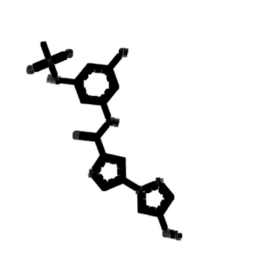 COc1cnn(-c2csc(C(=O)Nc3cc(Cl)cc(NS(C)(=O)=O)c3)c2)c1